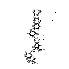 COC(CC1COc2ccc(-c3cccc(COc4cc(OCc5cncc(S(C)(=O)=O)c5)c(C=O)cc4Cl)c3C)cc2O1)OC